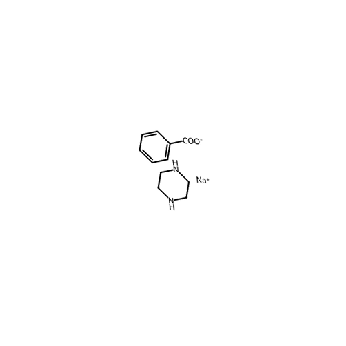 C1CNCCN1.O=C([O-])c1ccccc1.[Na+]